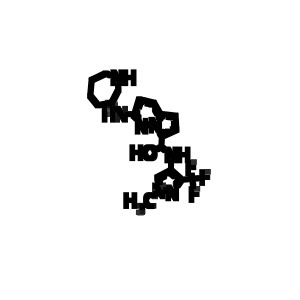 Cn1cc(NC(O)c2ccc3ccc(N[C@@H]4CCCCNC4)nn23)c(C(F)(F)F)n1